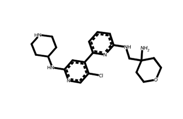 NC1(CNc2cccc(-c3cc(NC4CCNCC4)ncc3Cl)n2)CCOCC1